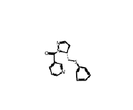 O=C(c1cccnc1)N1N=CC[C@@H]1CSc1ccccc1